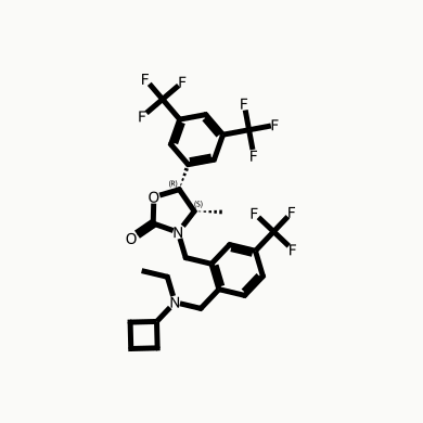 CCN(Cc1ccc(C(F)(F)F)cc1CN1C(=O)O[C@H](c2cc(C(F)(F)F)cc(C(F)(F)F)c2)[C@@H]1C)C1CCC1